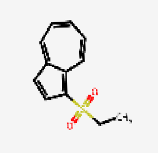 CCS(=O)(=O)c1ccc2cccccc1-2